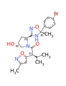 Cc1cc([C@@H](C(=O)N2C[C@H](O)C[C@H]2C2=NO[C@](C)(c3ccc(Br)cc3)N2)C(C)C)on1